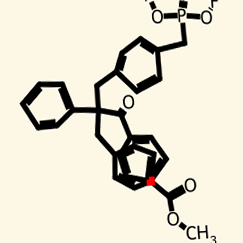 COC(=O)c1ccc(CC(Cc2ccc(CP(=O)(OF)OF)cc2)(C(=O)c2ccccc2)c2ccccc2)cc1